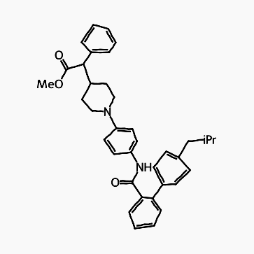 COC(=O)C(c1ccccc1)C1CCN(c2ccc(NC(=O)c3ccccc3-c3ccc(CC(C)C)cc3)cc2)CC1